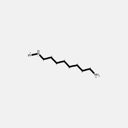 CC(C)NCCCCCCCCN